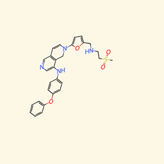 CS(=O)(=O)CCNCc1ccc(N2C=Cc3cncc(Nc4ccc(Oc5ccccc5)cc4)c3C2)o1